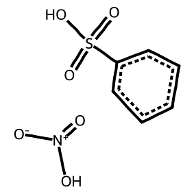 O=S(=O)(O)c1ccccc1.O=[N+]([O-])O